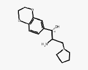 NC(CN1CCCC1)[C@@H](O)c1ccc2c(c1)OCCO2